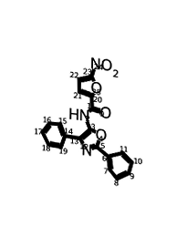 O=C(Nc1oc(-c2ccccc2)nc1-c1ccccc1)c1ccc([N+](=O)[O-])o1